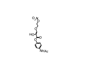 CC(=O)Nc1ccc(OC(=O)C(O)=COCCO[N+](=O)[O-])cc1